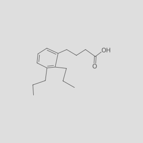 CCCc1cccc(CCCC(=O)O)c1CCC